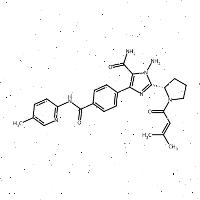 CC(C)=CC(=O)N1CCC[C@H]1c1nc(-c2ccc(C(=O)Nc3ccc(C)cn3)cc2)c(C(N)=O)n1N